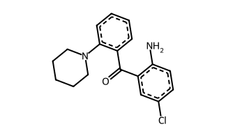 Nc1ccc(Cl)cc1C(=O)c1ccccc1N1CCCCC1